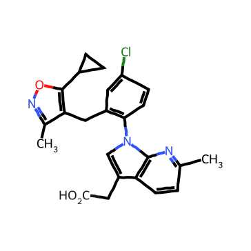 Cc1ccc2c(CC(=O)O)cn(-c3ccc(Cl)cc3Cc3c(C)noc3C3CC3)c2n1